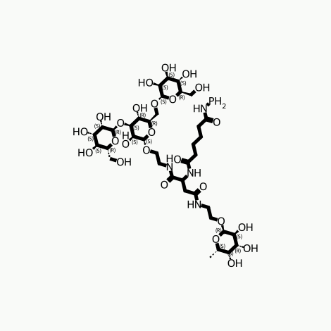 C[C@@H]1O[C@@H](OCCNC(=O)CC(NC(=O)CCCCC(=O)NP)C(=O)NCCO[C@H]2O[C@H](CO[C@H]3O[C@H](CO)[C@@H](O)[C@H](O)[C@@H]3O)[C@@H](O)[C@H](O[C@H]3O[C@H](CO)[C@@H](O)[C@H](O)[C@@H]3O)[C@@H]2O)[C@@H](O)[C@H](O)[C@@H]1O